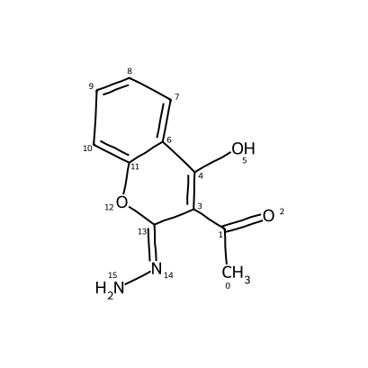 CC(=O)c1c(O)c2ccccc2oc1=NN